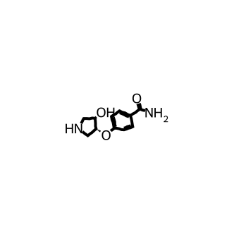 NC(=O)c1ccc(O[C@@H]2CNC[C@H]2O)cc1